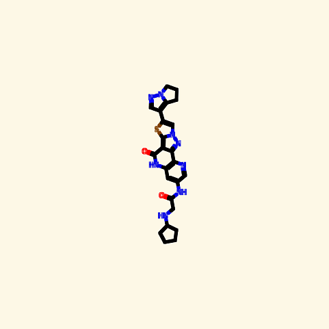 O=C(CNC1CCCC1)Nc1cnc2c(c1)[nH]c(=O)c1c2nn2cc(-c3cnn4c3CCC4)sc12